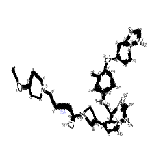 COC1CCN(C/C=C/C(=O)N2CC(c3ccn4ncnc(Nc5ccc(Oc6ccn7ncnc7c6)c(C)c5)c34)C2)CC1